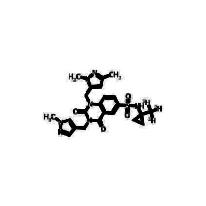 [2H]C([2H])([2H])C1(NS(=O)(=O)c2ccc3c(c2)c(=O)n(Cc2cnn(C)c2)c(=O)n3Cc2cc(C)nn2C)CC1